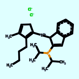 CCCCC1=[C]([Ti+2][CH]2C(P(C(C)C)C(C)C)=Cc3ccccc32)CC=C1C.[Cl-].[Cl-]